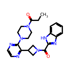 CCC(=O)N1CCN(c2nccnc2C2CN(C(=O)c3nc4ccccc4[nH]3)C2)CC1